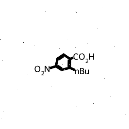 CCCCc1cc([N+](=O)[O-])ccc1C(=O)O